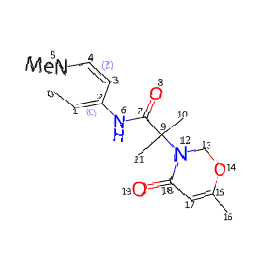 C/C=C(\C=C/NC)NC(=O)C(C)(C)N1COC(C)=CC1=O